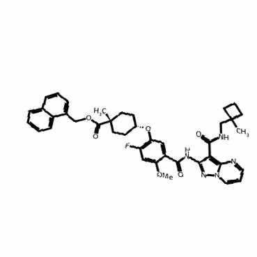 COc1cc(F)c(O[C@H]2CC[C@@](C)(C(=O)OCc3cccc4ccccc34)CC2)cc1C(=O)Nc1nn2cccnc2c1C(=O)NCC1(C)CCC1